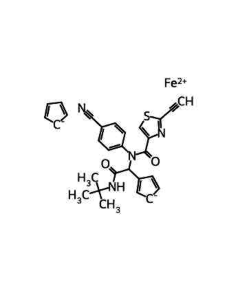 C#Cc1nc(C(=O)N(c2ccc(C#N)cc2)C(C(=O)NC(C)(C)C)c2cc[cH-]c2)cs1.[Fe+2].c1cc[cH-]c1